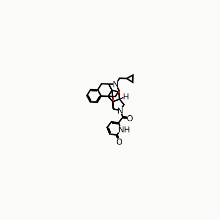 O=C(c1cccc(=O)[nH]1)N1C[C@H]2CC34CCC1C2C31CCN(CC2CC2)C4Cc2ccccc21